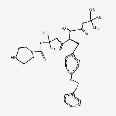 CN(C(=O)OC(C)(C)C)[C@@H](Cc1ccc(OCc2ccccc2)cc1)C(=O)CC(C)(C)OC(=O)N1CCNCC1